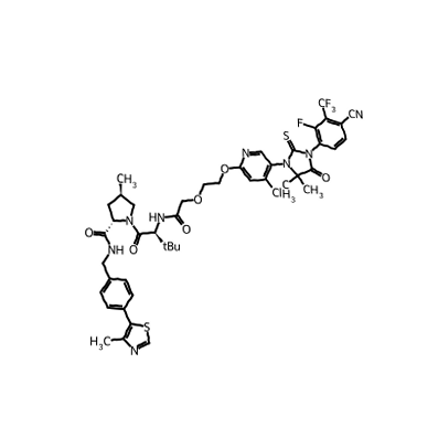 Cc1ncsc1-c1ccc(CNC(=O)[C@@H]2C[C@@H](C)CN2C(=O)[C@@H](NC(=O)COCCOc2cc(Cl)c(N3C(=S)N(c4ccc(C#N)c(C(F)(F)F)c4F)C(=O)C3(C)C)cn2)C(C)(C)C)cc1